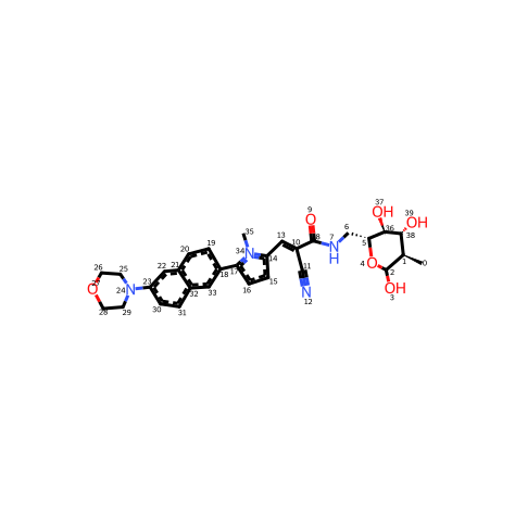 C[C@H]1C(O)O[C@H](CNC(=O)/C(C#N)=C/c2ccc(-c3ccc4cc(N5CCOCC5)ccc4c3)n2C)[C@@H](O)[C@@H]1O